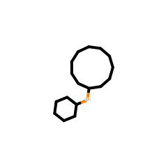 C1CCCCCC([P]C2CCCCC2)CCCC1